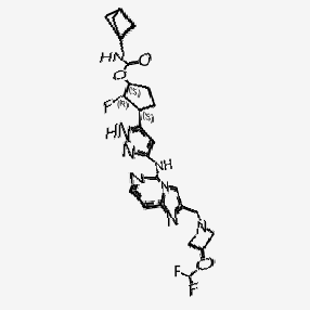 O=C(NC12CC(C1)C2)O[C@H]1CC[C@@H](c2cc(Nc3nccc4nc(CN5CC(OC(F)F)C5)cn34)n[nH]2)[C@H]1F